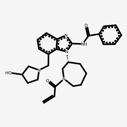 C=CC(=O)N1CCCC[C@@H](n2c(NC(=O)c3ccccc3)nc3cccc(CN4CCC(O)C4)c32)C1